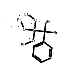 CCCC(Br)(c1ccccc1)[Si](OCC)(OCC)OCC